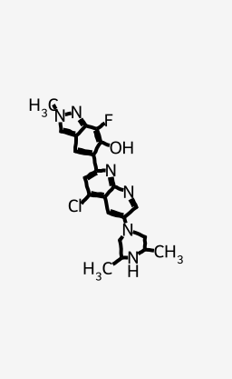 CC1CN(c2cnc3nc(-c4cc5cn(C)nc5c(F)c4O)cc(Cl)c3c2)CC(C)N1